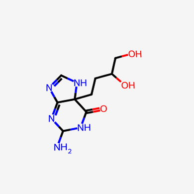 NC1N=C2N=CNC2(CCC(O)CO)C(=O)N1